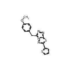 COc1ccc(Cc2nnc3sc(-c4cccs4)nn23)cc1